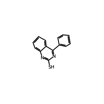 Sc1nc(-c2ccccc2)c2ccccc2n1